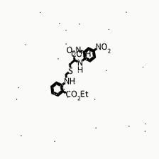 CCOC(=O)c1ccccc1NCSCC(Nc1ccc([N+](=O)[O-])cc1[N+](=O)[O-])C(=O)O